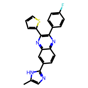 Cc1cnc(-c2ccc3nc(-c4ccc(F)cc4)c(-c4cccs4)nc3c2)[nH]1